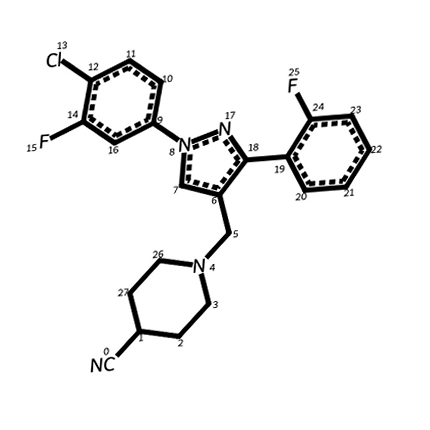 N#CC1CCN(Cc2cn(-c3ccc(Cl)c(F)c3)nc2-c2ccccc2F)CC1